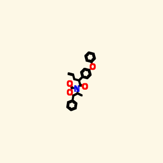 C=CCC(C(=O)N1C(=O)OC(c2ccccc2)C1C)c1ccc(Oc2ccccc2)cc1